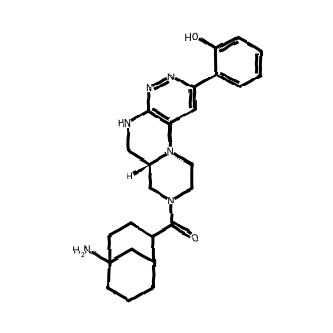 NC12CCCC(C1)C(C(=O)N1CCN3c4cc(-c5ccccc5O)nnc4NC[C@H]3C1)CC2